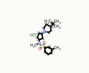 Cc1cccc(S(=O)(=O)N(C)C2CCC(N3CCC(C(C)(C)C)CC3)C2)c1.Cl